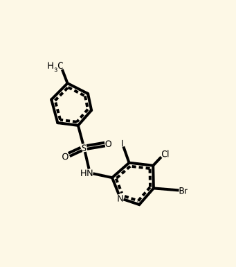 Cc1ccc(S(=O)(=O)Nc2ncc(Br)c(Cl)c2I)cc1